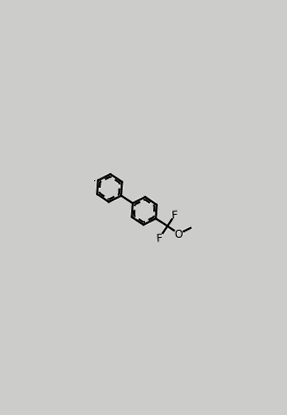 COC(F)(F)c1ccc(-c2cc[c]cc2)cc1